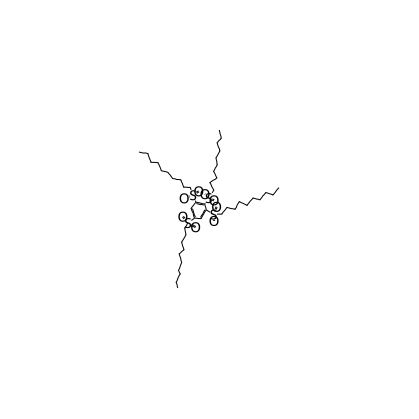 CCCCCCCCCCS(=O)(=O)c1cc(S(=O)(=O)CCCCCCCCCC)c(S(=O)(=O)CCCCCCCCCC)c(S(=O)(=O)CCCCCCCCCC)c1